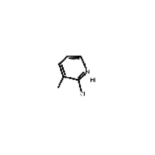 Cc1cccnc1Cl.I